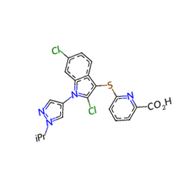 CC(C)n1cc(-n2c(Cl)c(Sc3cccc(C(=O)O)n3)c3ccc(Cl)cc32)cn1